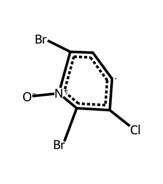 [O-][n+]1c(Br)c[c]c(Cl)c1Br